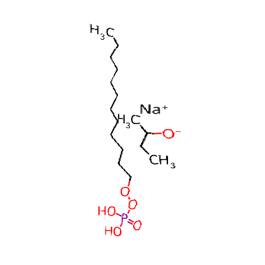 CCC(C)[O-].CCCCCCCCCCCCOOP(=O)(O)O.[Na+]